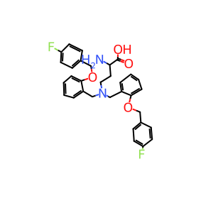 NC(CCN(Cc1ccccc1OCc1ccc(F)cc1)Cc1ccccc1OCc1ccc(F)cc1)C(=O)O